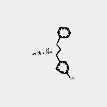 CCCc1ccc(CCSc2ccccc2)cc1.F.F.F.F.F